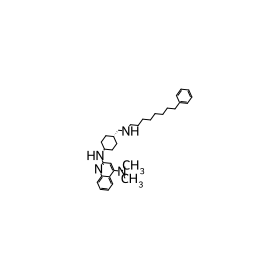 CN(C)c1cc(N[C@H]2CC[C@@H](CNCCCCCCCCc3ccccc3)CC2)nc2ccccc12